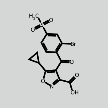 CS(=O)(=O)c1ccc(C(=O)c2c(C(=O)O)noc2C2CC2)c(Br)c1